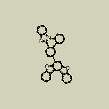 c1ccc2c(c1)nc1c3ccc(-c4cc5oc6ccccc6c5c5c4oc4ccccc45)cc3c3ccccc3n21